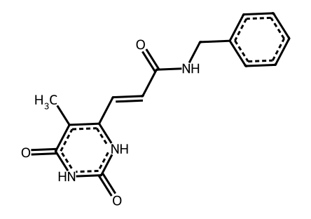 Cc1c(C=CC(=O)NCc2ccccc2)[nH]c(=O)[nH]c1=O